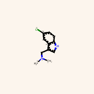 CN(C)Cc1c[nH]c2ccc(Cl)cc12